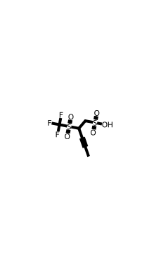 CC#CC(CS(=O)(=O)O)S(=O)(=O)C(F)(F)F